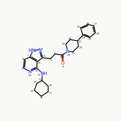 O=C(CCc1n[nH]c2ccnc(NC3CCCCC3)c12)N1CCC(c2ccccc2)CC1